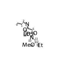 C=C/C=N\C(=C\S(=O)(=O)N(C)C[C@H](CC)OC)OCC